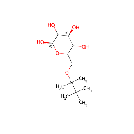 CC(C)(C)[Si](C)(C)OCC1O[C@@H](O)C(O)[C@@H](O)C1O